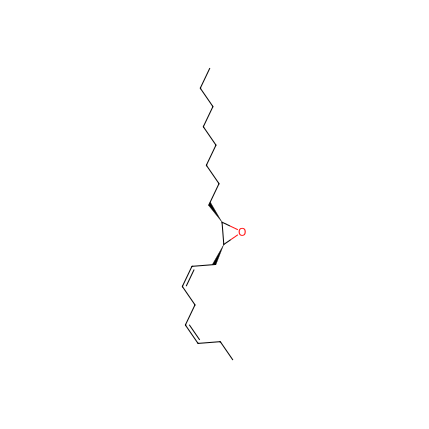 CC/C=C\C/C=C\C[C@@H]1O[C@@H]1CCCCCCCC